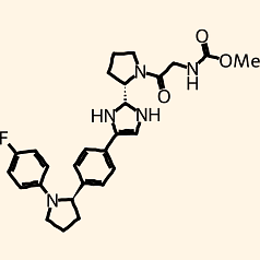 COC(=O)NCC(=O)N1CCC[C@H]1C1NC=C(c2ccc([C@H]3CCCN3c3ccc(F)cc3)cc2)N1